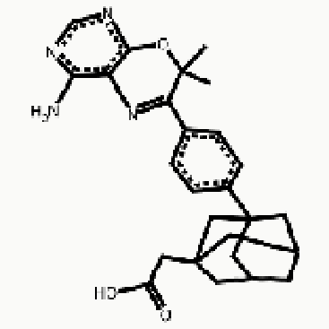 CC1(C)Oc2ncnc(N)c2N=C1c1ccc(C23CC4CC(CC(CC(=O)O)(C4)C2)C3)cc1